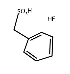 F.O=S(=O)(O)Cc1ccccc1